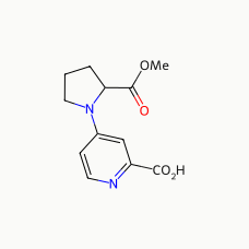 COC(=O)C1CCCN1c1ccnc(C(=O)O)c1